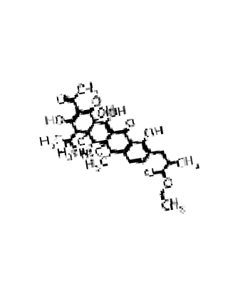 CCOC(=O)C(C)Cc1ccc2c(c1O)C(=O)C1=C(O)[C@@]3(O)C(=O)C(C(C)=O)=C(O)C(C(C)C)[C@@]3(C)[C@H](O)[C@@]1(C)[C@@H]2C